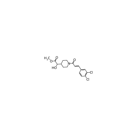 COC(=O)C(O)C1CCN(C(=O)C=Cc2ccc(Cl)c(Cl)c2)CC1